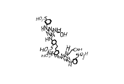 O=S(=O)(O)c1cccc(Nc2nc(NCCO)nc(Nc3ccc(C=Cc4ccc(Nc5nc(NCCO)nc(Nc6cccc(S(=O)(=O)O)c6)n5)cc4S(=O)(=O)O)c(S(=O)(=O)O)c3)n2)c1.[Na]